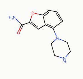 NC(=O)c1cc2c(N3CCNCC3)cccc2o1